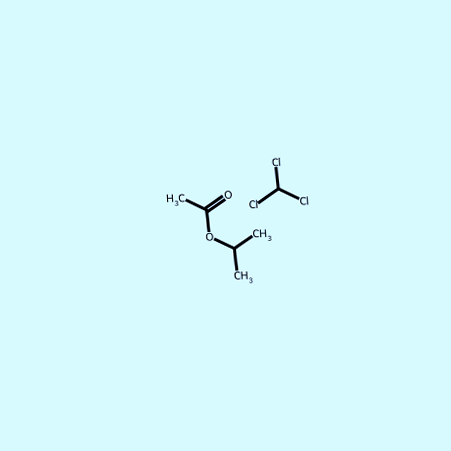 CC(=O)OC(C)C.ClC(Cl)Cl